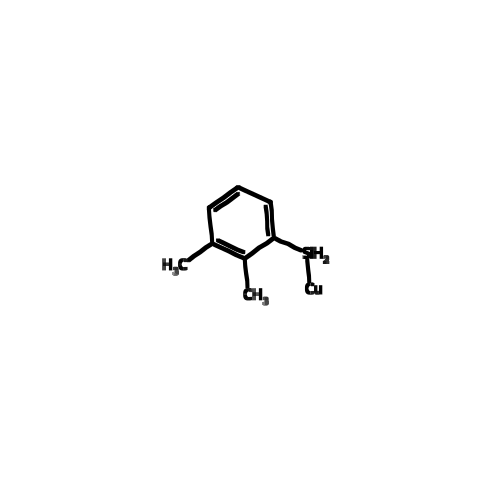 Cc1cccc([SiH2][Cu])c1C